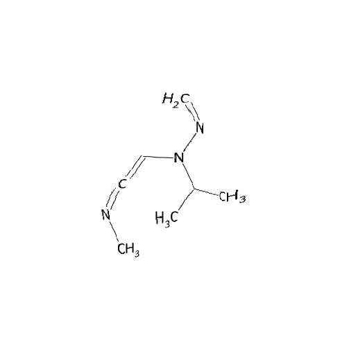 C=NN(C=C=NC)C(C)C